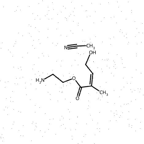 CC#N.CC(=CCO)C(=O)OCCN